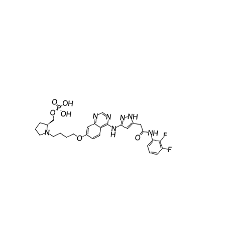 O=C(Cc1cc(Nc2ncnc3cc(OCCCCN4CCC[C@H]4COP(=O)(O)O)ccc23)n[nH]1)Nc1cccc(F)c1F